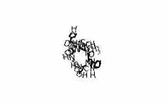 CC(C)C1C(=O)NC(CNC(=O)C2CCNCC2)C(=O)NCCNC(CC(=O)O)C(=O)NC(Cc2c[nH]c3ccccc23)C(=O)N1C